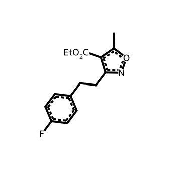 CCOC(=O)c1c(CCc2ccc(F)cc2)noc1C